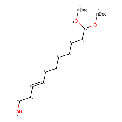 CCCCCCCCCCOC(CCCCCC/C=C/CCO)OCCCCCCCCCC